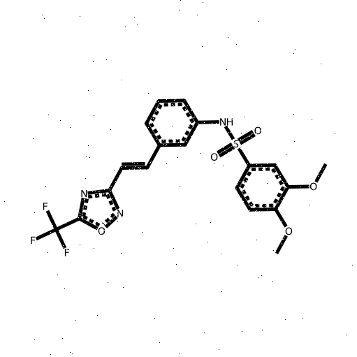 COc1ccc(S(=O)(=O)Nc2cccc(/C=C/c3noc(C(F)(F)F)n3)c2)cc1OC